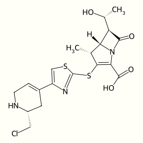 C[C@@H](O)[C@H]1C(=O)N2C(C(=O)O)=C(Sc3nc(C4=CCN[C@@H](CCl)C4)cs3)[C@H](C)[C@H]12